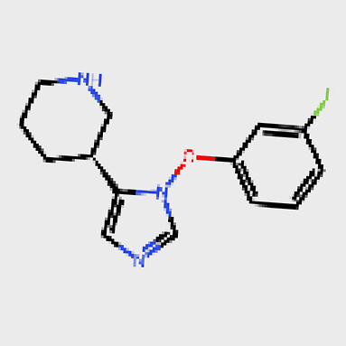 Fc1cccc(On2cncc2[C@H]2CCCNC2)c1